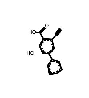 C#Cc1cc(-c2ccccc2)ccc1C(=O)O.Cl